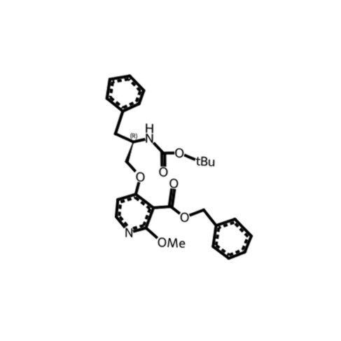 COc1nccc(OC[C@@H](Cc2ccccc2)NC(=O)OC(C)(C)C)c1C(=O)OCc1ccccc1